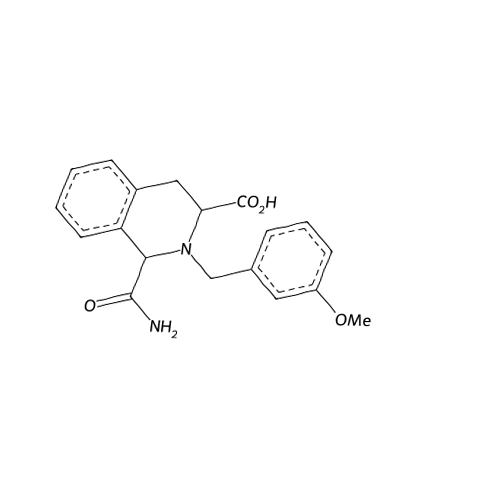 COc1cccc(CN2C(C(=O)O)Cc3ccccc3C2C(N)=O)c1